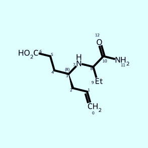 C=CC[C@@H](CCC(=O)O)NC(CC)C(N)=O